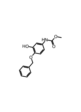 COC(=O)Nc1ccc(OCc2ccccc2)c(O)c1